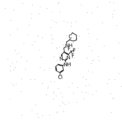 FC(F)(F)c1nc(Nc2cccc(Cl)c2)ncc1CNCC1CCCCC1